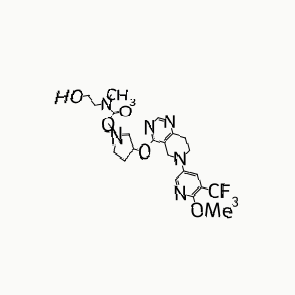 COc1ncc(N2CCc3ncnc(OC4CCN(OC(=O)N(C)CCO)C4)c3C2)cc1C(F)(F)F